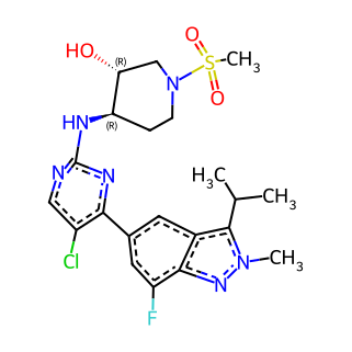 CC(C)c1c2cc(-c3nc(N[C@@H]4CCN(S(C)(=O)=O)C[C@H]4O)ncc3Cl)cc(F)c2nn1C